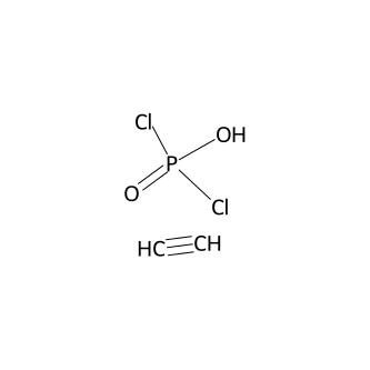 C#C.O=P(O)(Cl)Cl